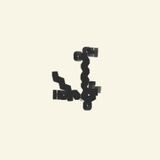 CCCCCC(C)(O)C=C[C@H]1C(=O)CC(F)(F)[C@@H]1CC=CCCCC(=O)O